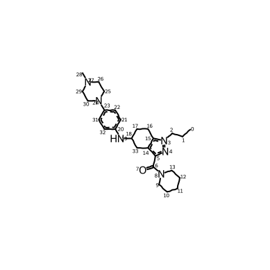 CCCn1nc(C(=O)N2CCCCC2)c2c1CCC(Nc1ccc(N3CCN(C)CC3)cc1)C2